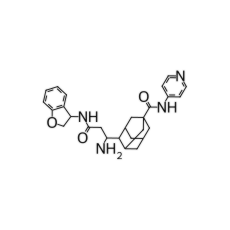 NC(CC(=O)NC1COc2ccccc21)C1C2CC3CC1CC(C(=O)Nc1ccncc1)(C3)C2